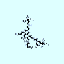 CC(C)(C)CCNCCN(CCN(CCNCCN)CCNCCN(CCN)CCC(C)(C)C)CN(CCN)CCN